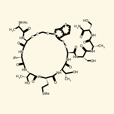 CSCC[C@@H]1NC(=O)[C@H]([C@@H](C)O)NC(=O)[C@H](C(C)C)NC(=O)[C@@H](NC(=O)[C@H](C)NC(C)=O)CCCCn2cc3sccc3c2SC[C@@H](C(=O)N[C@@H](CO)C(=O)N[C@@H](C)C(=O)N[C@@H](CO)C(N)=O)NC(=O)[C@H]([C@@H](C)O)NC1=O